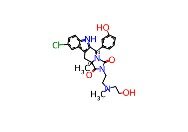 CN(CCO)CCN1C(=O)N2[C@H](c3cccc(O)c3)c3[nH]c4ccc(Cl)cc4c3C[C@@]2(C)C1=O